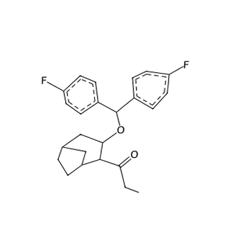 CCC(=O)C1C2CCC(C2)CC1OC(c1ccc(F)cc1)c1ccc(F)cc1